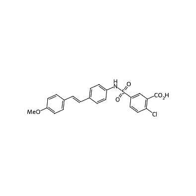 COc1ccc(/C=C/c2ccc(NS(=O)(=O)c3ccc(Cl)c(C(=O)O)c3)cc2)cc1